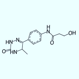 CC1NC(=O)NN=C1c1ccc(NC(=O)CCO)cc1